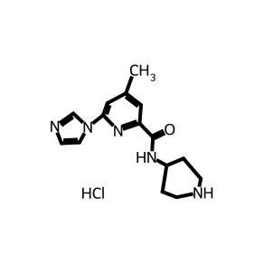 Cc1cc(C(=O)NC2CCNCC2)nc(-n2ccnc2)c1.Cl